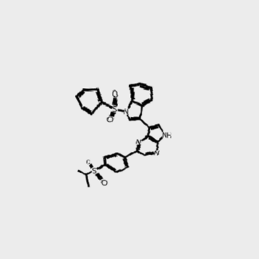 CC(C)S(=O)(=O)c1ccc(-c2cnc3[nH]cc(-c4cn(S(=O)(=O)c5ccccc5)c5ccccc45)c3n2)cc1